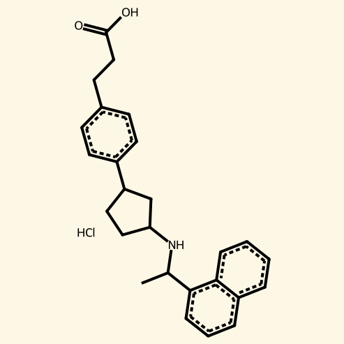 CC(NC1CCC(c2ccc(CCC(=O)O)cc2)C1)c1cccc2ccccc12.Cl